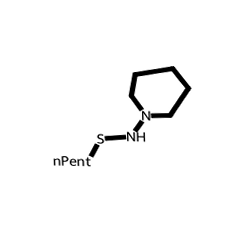 CCCCCSNN1CCCCC1